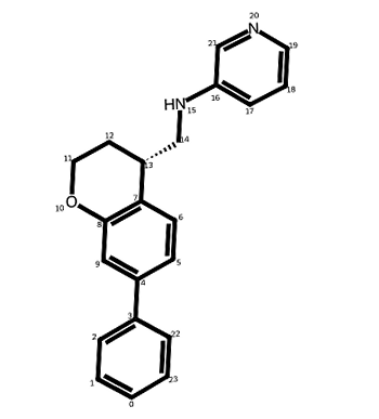 c1ccc(-c2ccc3c(c2)OCC[C@@H]3CNc2cccnc2)cc1